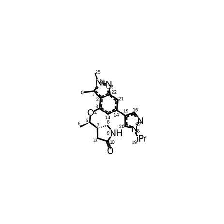 Cc1c2c(O[C@H](C)[C@@H]3CNC(=O)C3)cc(-c3cnn(C(C)C)c3)cc2nn1C